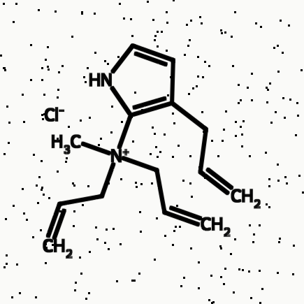 C=CCc1cc[nH]c1[N+](C)(CC=C)CC=C.[Cl-]